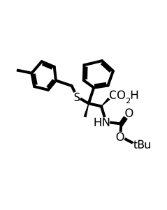 Cc1ccc(CS[C@](C)(c2ccccc2)[C@H](NC(=O)OC(C)(C)C)C(=O)O)cc1